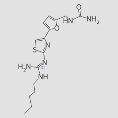 CCCCCN/C(N)=N/c1nc(-c2ccc(CNC(N)=O)o2)cs1